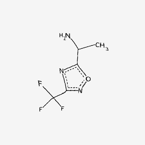 CC(N)c1nc(C(F)(F)F)no1